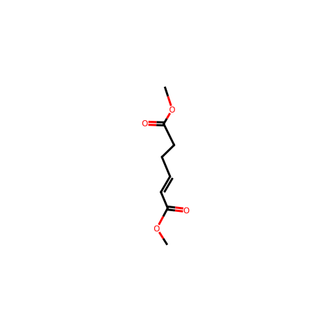 COC(=O)C=CCCC(=O)OC